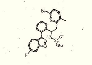 Cc1ccc(Br)nc1CC(N[S@@+]([O-])C(C)(C)C)c1ccccc1-c1noc2cc(F)ccc12